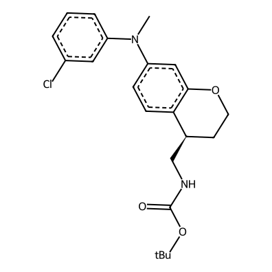 CN(c1cccc(Cl)c1)c1ccc2c(c1)OCC[C@H]2CNC(=O)OC(C)(C)C